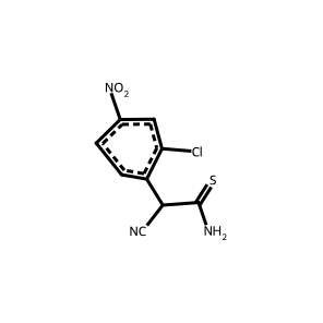 N#CC(C(N)=S)c1ccc([N+](=O)[O-])cc1Cl